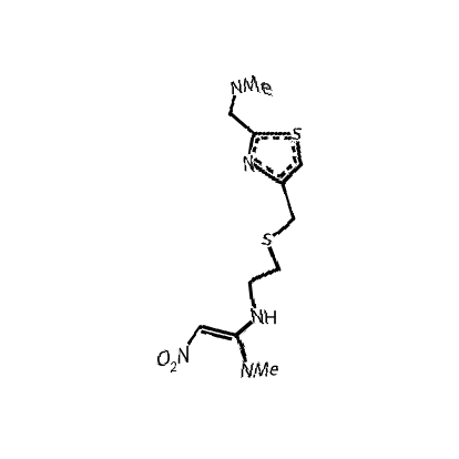 CNCc1nc(CSCCNC(=C[N+](=O)[O-])NC)cs1